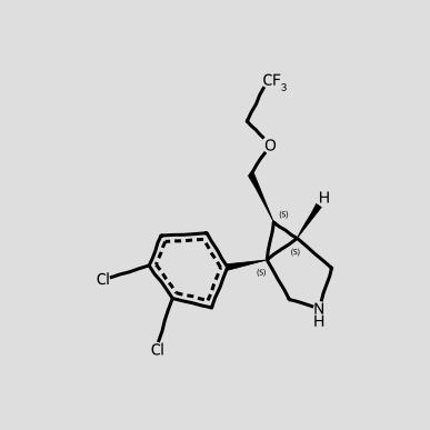 FC(F)(F)COC[C@H]1[C@@H]2CNC[C@@]21c1ccc(Cl)c(Cl)c1